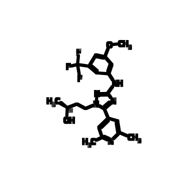 COc1cc(Nc2nc(-c3cc(C)nc(C)c3)n(CC[C@H](C)O)n2)cc(C(F)(F)F)c1